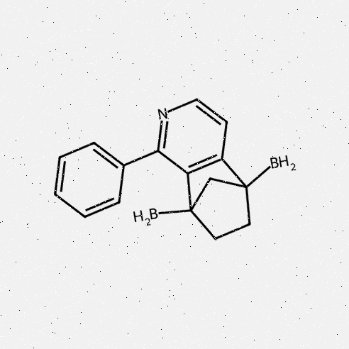 BC12CCC(B)(C1)c1c2ccnc1-c1ccccc1